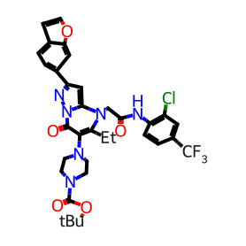 CCc1c(N2CCN(C(=O)OC(C)(C)C)CC2)c(=O)n2nc(-c3ccc4ccoc4c3)cc2n1CC(=O)Nc1ccc(C(F)(F)F)cc1Cl